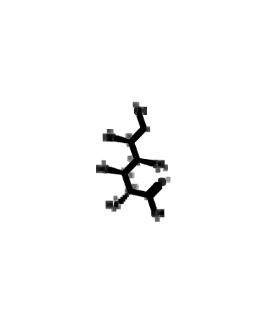 C[C@@H]([C@H](O)[C@@H](C)C(=O)O)[C@@H](O)CO